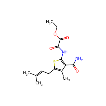 CCOC(=O)C(=O)Nc1sc(CC=C(C)C)c(C)c1C(N)=O